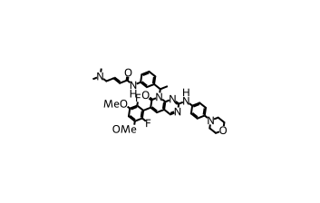 COc1cc(OC)c(F)c(-c2cc3cnc(Nc4ccc(N5CCOCC5)cc4)nc3n(C(C)c3cccc(NC(=O)/C=C/CN(C)C)c3)c2=O)c1F